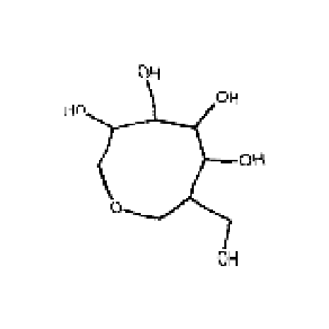 OCC1COCC(O)C(O)C(O)C1O